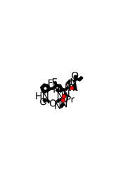 C=CC(=O)N1CCN(c2nc(=O)n3c4nc(c(F)cc24)-c2c(F)cccc2NC(=O)COc2ncnc(C(C)C)c2-3)[C@@H]2C[C@@H]21